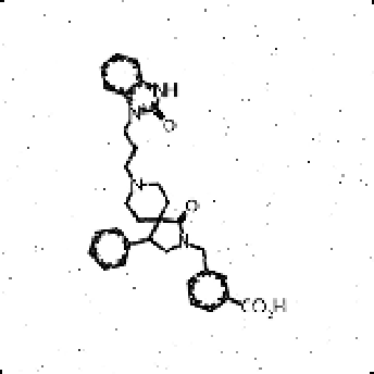 O=C(O)c1cccc(CN2CC(c3ccccc3)C3(CCN(CCCn4c(=O)[nH]c5ccccc54)CC3)C2=O)c1